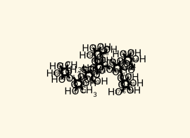 CC1OC(OCC2OC(O)C(C)C(O)C2OC2OC(CO)C(OC3OC(COC4OC(COC5OC(CO)C(O)C(O)C5O)C(O)C(OC5OC(CO)C(O)C(O)C5O)C4O)C(O)C(OC4OC(CO)C(O)C(O)C4O)C3O)C(O)C2C)C(O)C(O)C1O